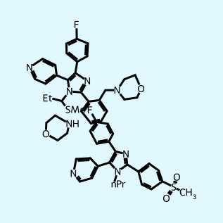 C1COCCN1.CCC(SC)n1c(-c2ccccc2CN2CCOCC2)nc(-c2ccc(F)cc2)c1-c1ccncc1.CCCn1c(-c2ccc(S(C)(=O)=O)cc2)nc(-c2ccc(F)cc2)c1-c1ccncc1